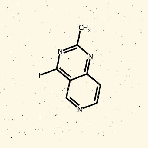 Cc1nc(I)c2cnccc2n1